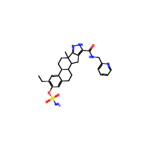 CCc1cc2c(cc1OS(N)(=O)=O)CCC1C2CCC2(C)c3n[nH]c(C(=O)NCc4ccccn4)c3CC12